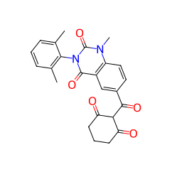 Cc1cccc(C)c1-n1c(=O)c2cc(C(=O)C3C(=O)CCCC3=O)ccc2n(C)c1=O